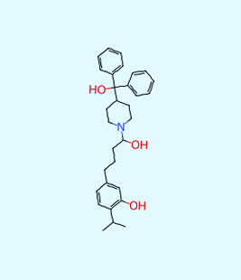 CC(C)c1ccc(CCCC(O)N2CCC(C(O)(c3ccccc3)c3ccccc3)CC2)cc1O